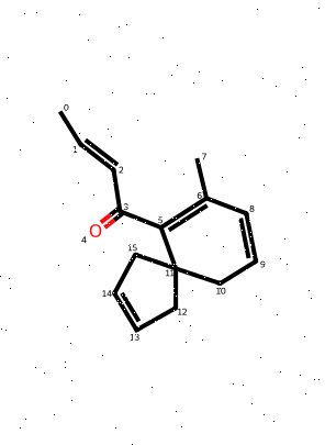 CC=CC(=O)C1=C(C)C=CCC12CC=CC2